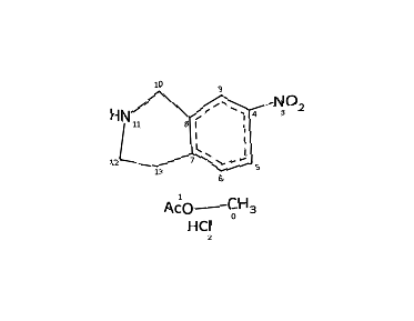 COC(C)=O.Cl.O=[N+]([O-])c1ccc2c(c1)CNCC2